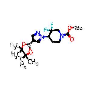 CC(C)(C)OC(=O)N1CCC(n2cc(B3OC(C)(C)C(C)(C)O3)cn2)C(F)(F)C1